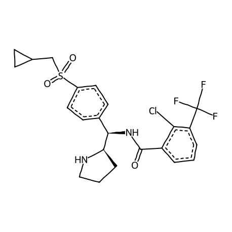 O=C(N[C@H](c1ccc(S(=O)(=O)CC2CC2)cc1)[C@H]1CCCN1)c1cccc(C(F)(F)F)c1Cl